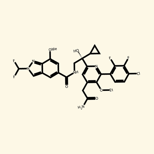 CCOc1c(CC(N)=O)cc([C@@](O)(CNC(=O)c2cc(OC)c3nn(C(F)F)cc3c2)C2CC2)nc1-c1ccc(Cl)c(F)c1F